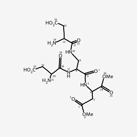 COC(=O)CC(NC(=O)C(CNC(=O)C(N)CC(=O)O)NC(=O)C(N)CC(=O)O)C(=O)OC